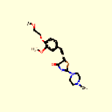 COCCOc1ccc(C=C=C2SC(N3CCN(C)CC3)=NC2=O)cc1OC